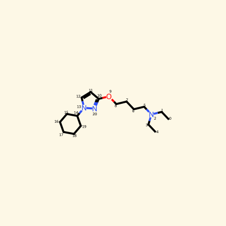 CCN(CC)CCCCOc1ccn(C2CCCCC2)n1